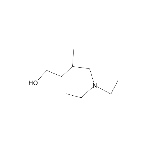 CCN(CC)CC(C)CCO